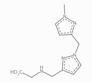 Cn1ccc(Cn2ccc(CNCC(=O)O)n2)n1